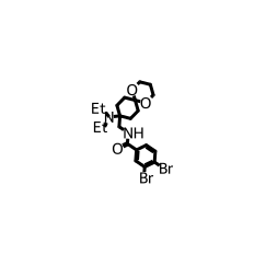 CCN(CC)C1(CNC(=O)c2ccc(Br)c(Br)c2)CCC2(CC1)OCCCO2